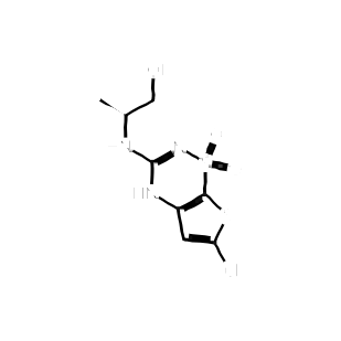 C[C@@H](CO)NC1=NS(=O)(=O)c2sc(Cl)cc2N1